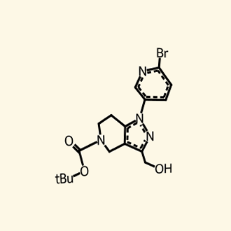 CC(C)(C)OC(=O)N1CCc2c(c(CO)nn2-c2ccc(Br)nc2)C1